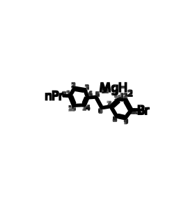 CCCc1ccc(CCc2ccc(Br)cc2)cc1.[MgH2]